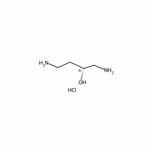 Cl.NCC[C@@H](O)CN